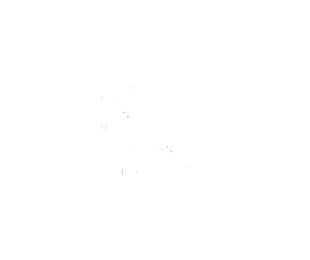 CC(=O)N(C)CCC/C=C\c1cccc(C(=O)NCC(=O)O)c1